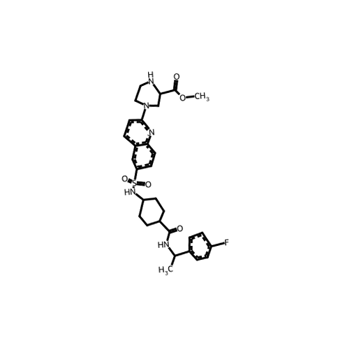 COC(=O)C1CN(c2ccc3cc(S(=O)(=O)NC4CCC(C(=O)NC(C)c5ccc(F)cc5)CC4)ccc3n2)CCN1